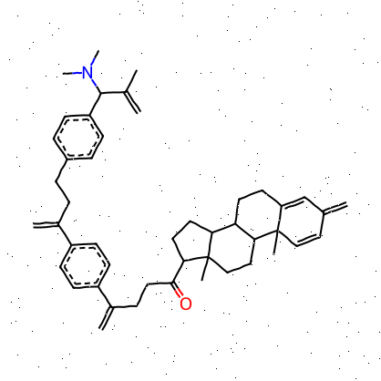 C=C1C=CC2(C)C(=C1)CCC1C2CCC2(C)C(C(=O)CCC(=C)c3ccc(C(=C)CCc4ccc(C(C(=C)C)N(C)C)cc4)cc3)CCC12